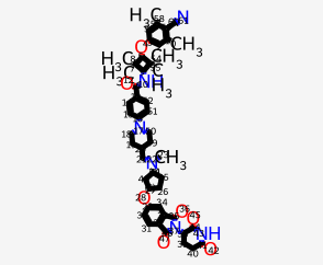 Cc1cc(OC2C(C)(C)C(NC(=O)c3ccc(N4CCC(CN(C)[C@@H]5CC[C@H](Oc6ccc7c(c6)C(=O)N(C6CCC(=O)NC6=O)C7=O)C5)CC4)cc3)C2(C)C)cc(C)c1C#N